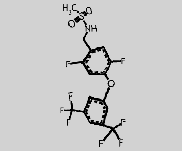 CS(=O)(=O)NCc1cc(F)c(Oc2cc(C(F)(F)F)cc(C(F)(F)F)c2)cc1F